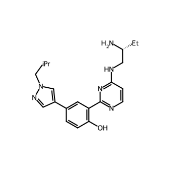 CC[C@@H](N)CNc1ccnc(-c2cc(-c3cnn(CC(C)C)c3)ccc2O)n1